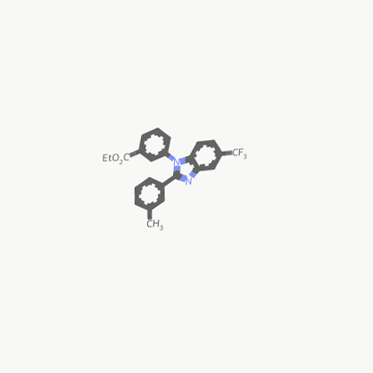 CCOC(=O)c1cccc(-n2c(-c3cccc(C)c3)nc3cc(C(F)(F)F)ccc32)c1